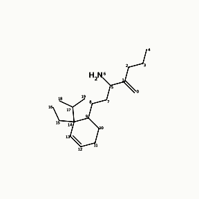 C=C(CCC)C(N)CCC1CCC=CC1(CC)C(C)C